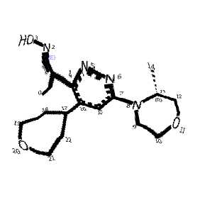 C/C(=N\O)c1nnc(N2CCOC[C@H]2C)cc1C1CCOCC1